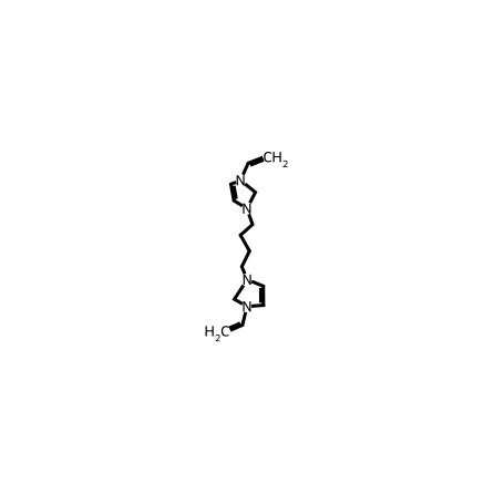 C=CN1C=CN(CCCCN2C=CN(C=C)C2)C1